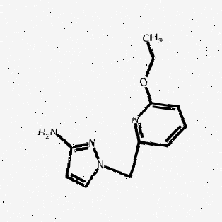 CCOc1cccc(Cn2ccc(N)n2)n1